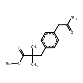 CC(C)(C)OC(=O)C(C)(C)Cc1ccc(CC(N)=O)cc1